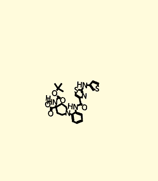 CC(C)(C)OC(=O)NC1(C(=O)O)CCN(c2ccccc2NC(=O)c2csc(Nc3ccsc3)n2)CC1